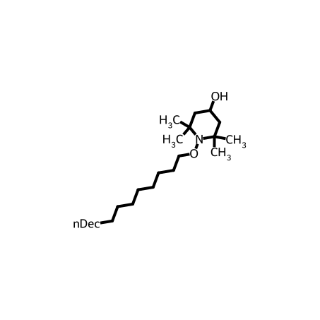 CCCCCCCCCCCCCCCCCCON1C(C)(C)CC(O)CC1(C)C